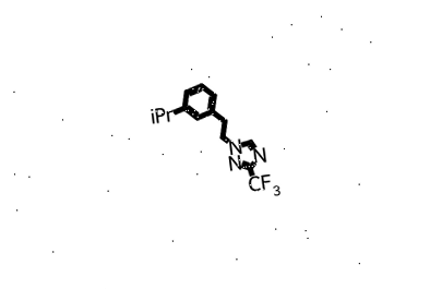 CC(C)c1cccc(CCn2cnc(C(F)(F)F)n2)c1